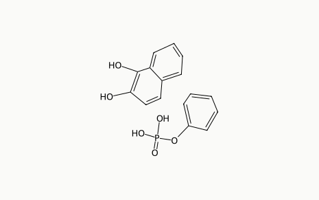 O=P(O)(O)Oc1ccccc1.Oc1ccc2ccccc2c1O